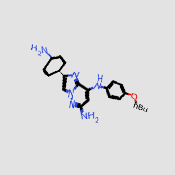 CCCCOc1ccc(Nc2cc(N)nn3cc([C@H]4CC[C@H](N)CC4)nc23)cc1